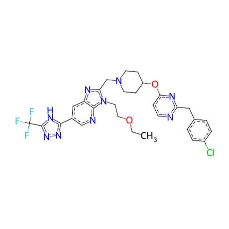 CCOCCn1c(CN2CCC(Oc3ccnc(Cc4ccc(Cl)cc4)n3)CC2)nc2cc(-c3nnc(C(F)(F)F)[nH]3)cnc21